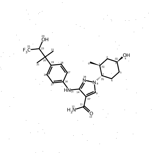 C[C@H]1C[C@@H](O)CC[C@@H]1n1cc(C(N)=O)c(Nc2ccc(C(C)(C)C(O)C(F)(F)F)cc2)n1